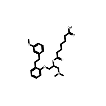 COc1cccc(CCc2ccccc2OCC(CN(C)C)OC(=O)CCCCCC(=O)O)c1